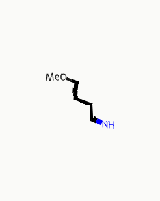 COCCCC=N